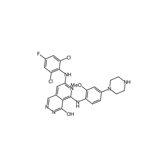 COc1cc(N2CCNCC2)ccc1Nc1nc(Nc2c(Cl)cc(F)cc2Cl)cc2cnnc(O)c12